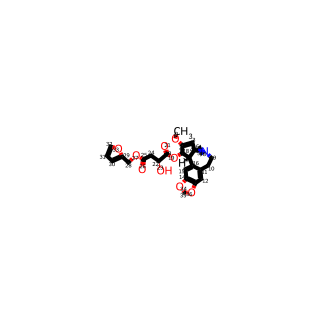 COC1=CC23CCCN2CCc2cc4c(cc2[C@@H]3C1OC(=O)[C@H](O)CC(=O)OCc1ccco1)OCO4